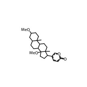 COC1CCC2(C)C(CCC3C2CCC2(C)C(c4ccc(=O)oc4)CCC32OC)C1